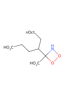 CCCCCCCCCC(CCC(=O)O)C1(C(=O)O)NOO1